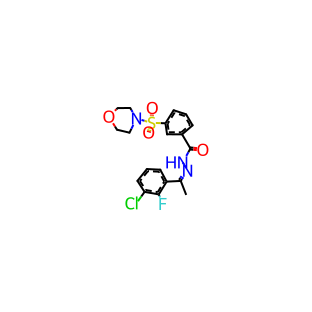 CC(=NNC(=O)c1cccc(S(=O)(=O)N2CCOCC2)c1)c1cccc(Cl)c1F